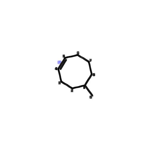 CC1CC/C=C\CCC1